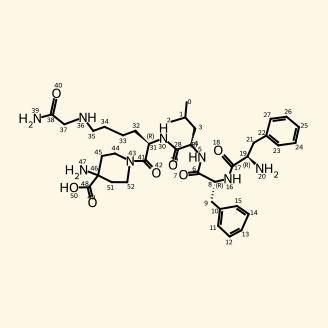 CC(C)C[C@@H](NC(=O)[C@@H](Cc1ccccc1)NC(=O)[C@H](N)Cc1ccccc1)C(=O)N[C@H](CCCCNCC(N)=O)C(=O)N1CCC(N)(C(=O)O)CC1